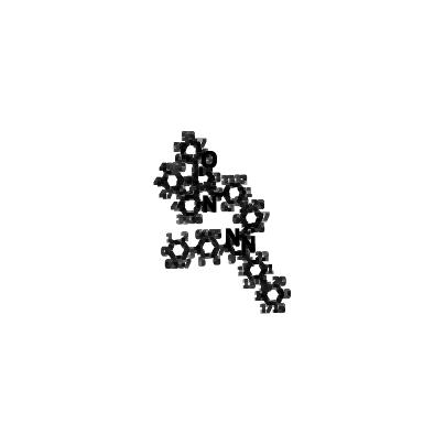 c1ccc(-c2ccc(-c3cc(-c4ccc(-c5ccccc5)cc4)nc(-c4cccc(-c5cccc(-c6nc7ccccc7c7c(-c8ccccc8)c8c(cc67)oc6ccccc68)c5)c4)n3)cc2)cc1